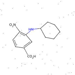 O=C(O)c1ccc([N+](=O)[O-])c(NC2CCCCC2)c1